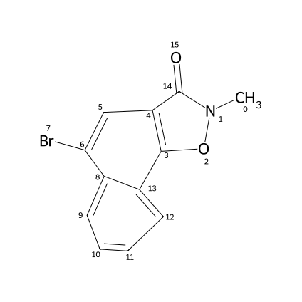 Cn1oc2c(cc(Br)c3ccccc32)c1=O